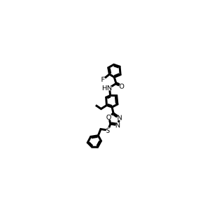 CCc1cc(NC(=O)c2ccccc2F)ccc1-c1nnc(SCc2ccccc2)o1